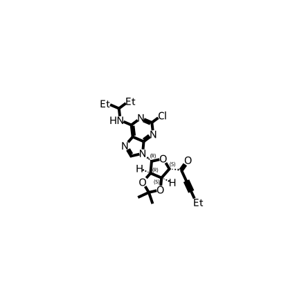 CCC#CC(=O)[C@H]1O[C@@H](n2cnc3c(NC(CC)CC)nc(Cl)nc32)[C@@H]2OC(C)(C)O[C@@H]21